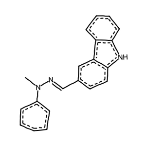 CN(N=Cc1ccc2[nH]c3ccccc3c2c1)c1ccccc1